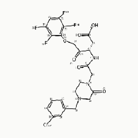 O=C(O)C[C@H](NC(=O)CN1CCN(Cc2cccc(Cl)c2)CC1=O)C(=O)COc1c(F)c(F)cc(F)c1F